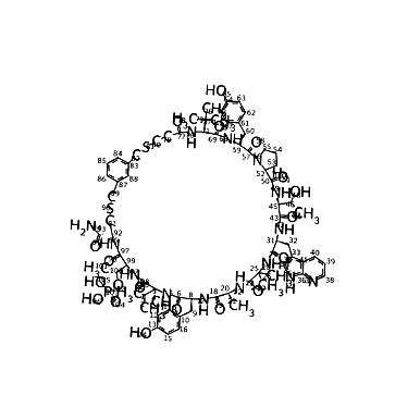 CC(C)[C@]1(C)NC(=O)[C@H](Cc2ccc(O)cc2)NC(=O)[C@H](C)NC(=O)C(C)(C)NC(=O)[C@H](Cc2c[nH]c3ncccc23)NC(=O)[C@H]([C@@H](C)O)NC(=O)[C@@H]2CCCN2C(=O)[C@H](Cc2ccc(O)cc2)NC(=O)[C@H](C(C)(C)C)NC(=O)CCSCc2cccc(c2)CSC[C@@H](C(N)=O)NC(=O)[C@H]([C@@H](C)OP(=O)(O)O)NC1=O